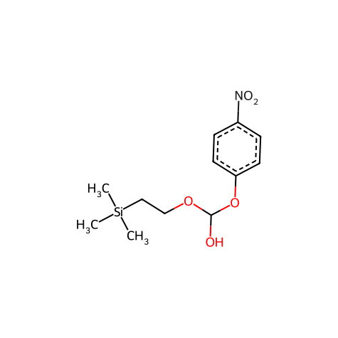 C[Si](C)(C)CCOC(O)Oc1ccc([N+](=O)[O-])cc1